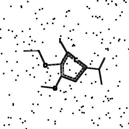 CCOc1c(I)cc(C(C)C)cc1OC